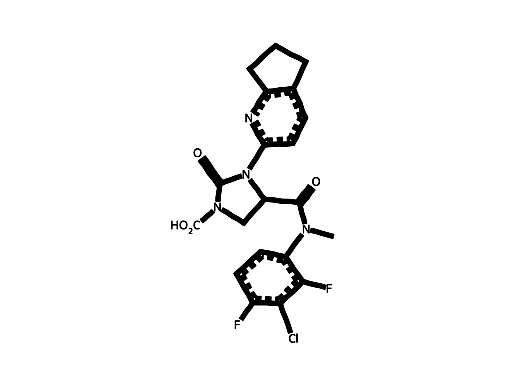 CN(C(=O)C1CN(C(=O)O)C(=O)N1c1ccc2c(n1)CCC2)c1ccc(F)c(Cl)c1F